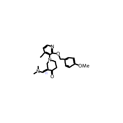 COc1ccc(COc2nccc(C)c2N2CCC(=O)/C(=C/N(C)C)C2)cc1